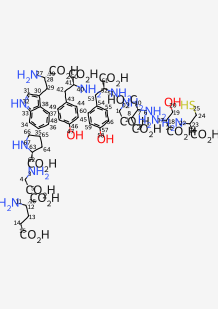 NCC(=O)O.NCC(=O)O.N[C@@H](CC(=O)O)C(=O)O.N[C@@H](CCC(=O)O)C(=O)O.N[C@@H](CO)C(=O)O.N[C@@H](CS)C(=O)O.N[C@@H](Cc1c[nH]c2ccccc12)C(=O)O.N[C@@H](Cc1ccc(O)cc1)C(=O)O.N[C@@H](Cc1ccc(O)cc1)C(=O)O.O=C(O)[C@@H]1CCCN1